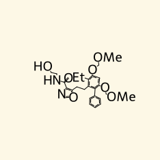 CCc1c(OCOC)cc(OCOC)c(-c2ccccc2)c1CCc1ocnc1C(=O)NCCO